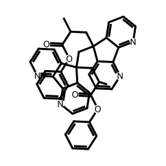 CC(CC1(CC2(CC(C)C(=O)Oc3ccccc3)c3cccnc3-c3ncccc32)c2cccnc2-c2ncccc21)C(=O)Oc1ccccc1